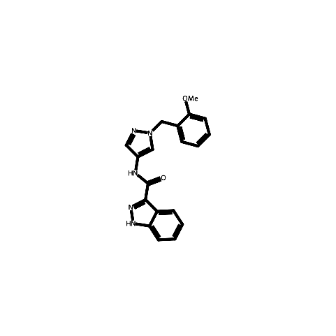 COc1ccccc1Cn1cc(NC(=O)c2n[nH]c3ccccc23)cn1